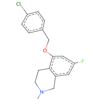 CN1CCc2c(cc(F)cc2OCc2ccc(Cl)cc2)C1